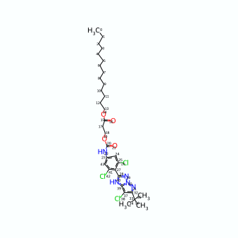 CCCCCCCCCCCCCCOC(=O)CCOC(=O)Nc1cc(Cl)c(-c2nn3nc(C(C)(C)C)c(Cl)c3[nH]2)c(Cl)c1